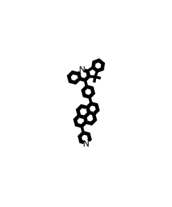 CC1(C)c2ccccc2-c2nc3ccccc3c(-c3ccc(-c4ccc5ccc6c(-c7ccncc7)ccc7ccc4c5c76)cc3)c21